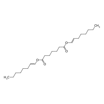 CCCCCCC=COC(=O)CCCCCC(=O)OC=CCCCCCC